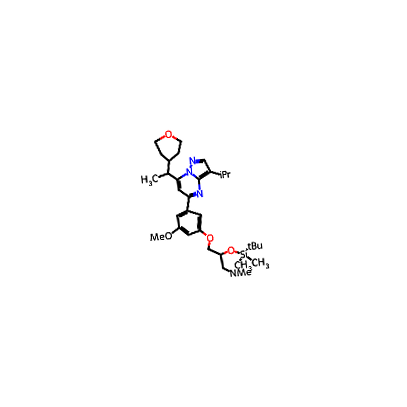 CNCC(COc1cc(OC)cc(-c2cc(C(C)C3CCOCC3)n3ncc(C(C)C)c3n2)c1)O[Si](C)(C)C(C)(C)C